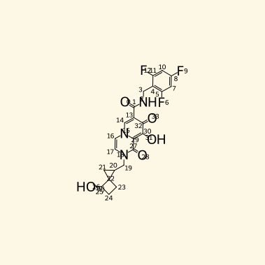 O=C(NCc1c(F)cc(F)cc1F)c1cn2ccn(CC3CC34CC[C@H]4O)c(=O)c2c(O)c1=O